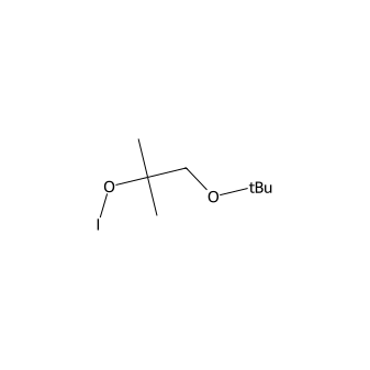 CC(C)(C)OCC(C)(C)OI